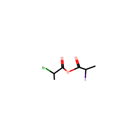 CC(Br)C(=O)OC(=O)C(C)I